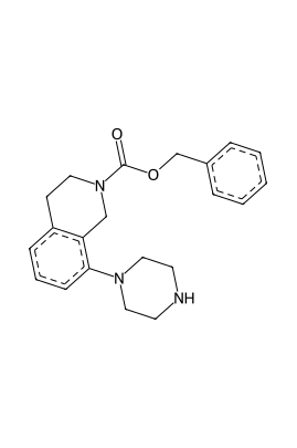 O=C(OCc1ccccc1)N1CCc2cccc(N3CCNCC3)c2C1